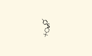 Cc1ccc(SC2CCC(C(C)(C)C)CC2)cc1